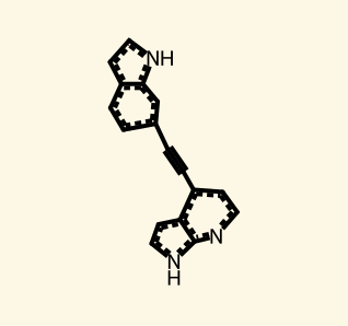 C(#Cc1ccnc2[nH]ccc12)c1ccc2cc[nH]c2c1